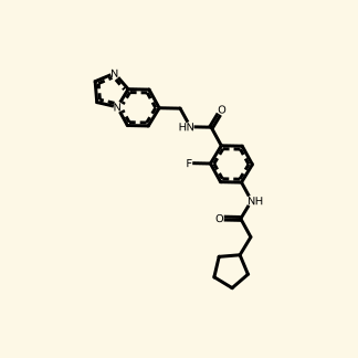 O=C(CC1CCCC1)Nc1ccc(C(=O)NCc2ccn3ccnc3c2)c(F)c1